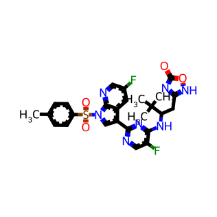 Cc1ccc(S(=O)(=O)n2cc(-c3ncc(F)c(NC(Cc4nc(=O)o[nH]4)C(C)(C)C)n3)c3cc(F)cnc32)cc1